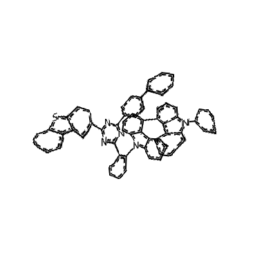 c1ccc(-c2ccc(-c3nc(-c4ccc5sc6ccccc6c5c4)nc(-c4ccccc4-n4c5ccccc5c5c(-c6cccc7c6c6ccccc6n7-c6ccccc6)cccc54)n3)cc2)cc1